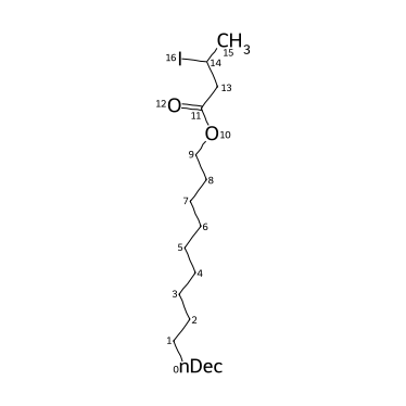 CCCCCCCCCCCCCCCCCCCOC(=O)CC(C)I